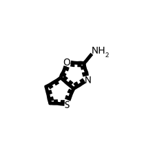 Nc1nc2sccc2o1